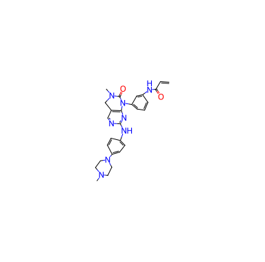 C=CC(=O)Nc1cccc(N2C(=O)N(C)Cc3cnc(Nc4ccc(N5CCN(C)CC5)cc4)nc32)c1